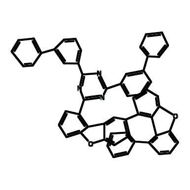 c1ccc(-c2cccc(-c3nc(-c4cccc(-c5ccccc5)c4)nc(-c4cccc5oc6ccc(-c7cccc8oc9cccc(-c%10ccccc%10)c9c78)cc6c45)n3)c2)cc1